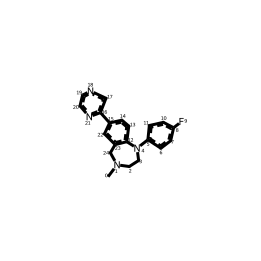 CN1CCN(c2ccc(F)cc2)c2ccc(-c3cnccn3)cc2C1